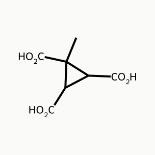 CC1(C(=O)O)C(C(=O)O)C1C(=O)O